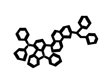 c1ccc(CC(c2ccccc2)c2ccc3ccc4c(-c5ccc(N(c6ccccc6)c6ccccc6)c6c7ccccc7n(-c7ccccc7)c56)cccc4c3c2)cc1